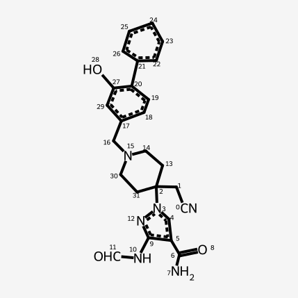 N#CCC1(n2cc(C(N)=O)c(NC=O)n2)CCN(Cc2ccc(-c3ccccc3)c(O)c2)CC1